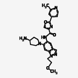 COCCn1ncc2cc(NC(=O)c3coc(-c4ccnc(C)c4)n3)c(N3CCC(N)CC3)cc21